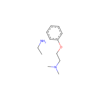 CCN.CN(C)CCOc1ccccc1